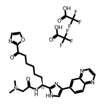 CN(C)CC(=O)N[C@@H](CCCCCC(=O)c1ncco1)c1nc(-c2ccc3nccnc3c2)c[nH]1.O=C(O)C(F)(F)F.O=C(O)C(F)(F)F